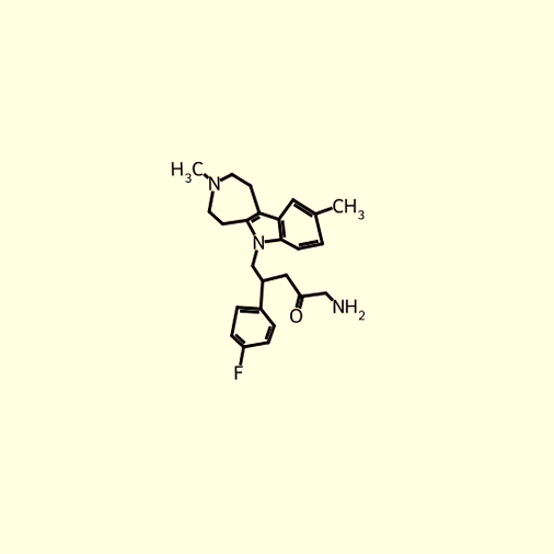 Cc1ccc2c(c1)c1c(n2CC(CC(=O)CN)c2ccc(F)cc2)CCN(C)CC1